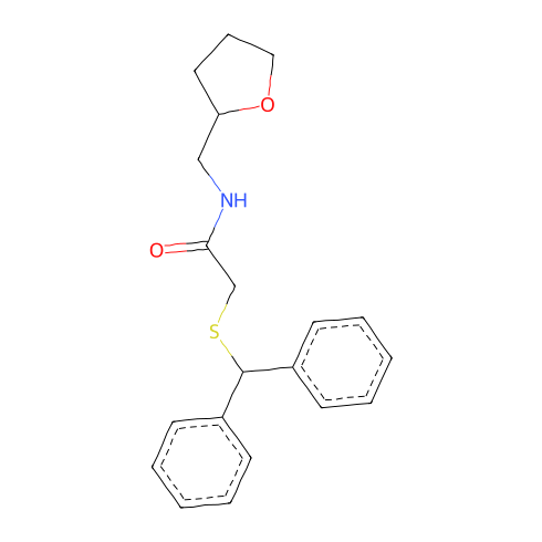 O=C(CSC(c1ccccc1)c1ccccc1)NCC1CCCO1